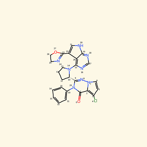 O=c1c2c(Cl)ccn2nc([C@@H]2CCCN2c2ncnc3[nH]cc(C4=NCCO4)c23)n1-c1ccccc1